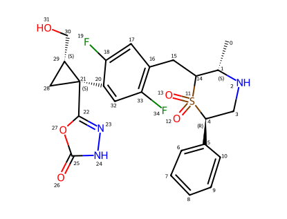 C[C@@H]1NC[C@@H](c2ccccc2)S(=O)(=O)C1Cc1cc(F)c([C@]2(c3n[nH]c(=O)o3)C[C@@H]2CO)cc1F